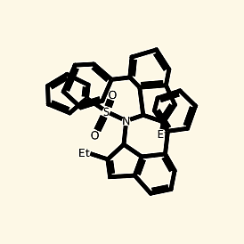 CCC1=Cc2cccc(-c3ccccc3)c2C1N(C1C(CC)=Cc2cccc(-c3ccccc3)c21)S(=O)(=O)c1ccccc1